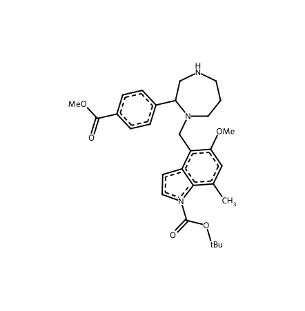 COC(=O)c1ccc(C2CNCCCN2Cc2c(OC)cc(C)c3c2ccn3C(=O)OC(C)(C)C)cc1